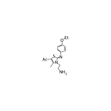 CCOc1ccc(/N=c2\sc(C(C)=O)c(C)n2CCN)cc1